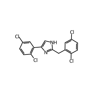 Clc1ccc(Cl)c(Cc2nc(-c3cc(Cl)ccc3Cl)c[nH]2)c1